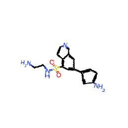 NCCNS(=O)(=O)c1cc(-c2ccc(N)cc2)cc2cnccc12